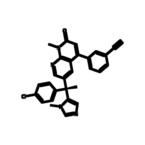 C#Cc1cccc(-c2cc(=O)n(C)c3ncc([C@@](C)(c4ccc(Cl)cc4)c4cncn4C)cc23)c1